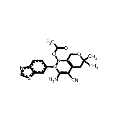 CC1(C)CC2=C(CO1)N(OC(=O)C(F)(F)F)N(c1ccc3ncsc3c1)C(N)=C2C#N